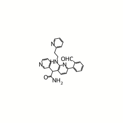 NC(=O)C(c1cccnc1)c1ccc(-c2ccccc2C=O)nc1NCCc1ccccn1